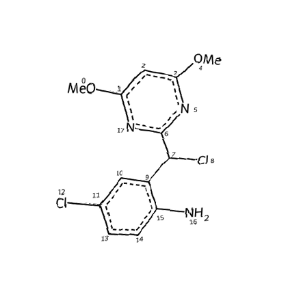 COc1cc(OC)nc(C(Cl)c2cc(Cl)ccc2N)n1